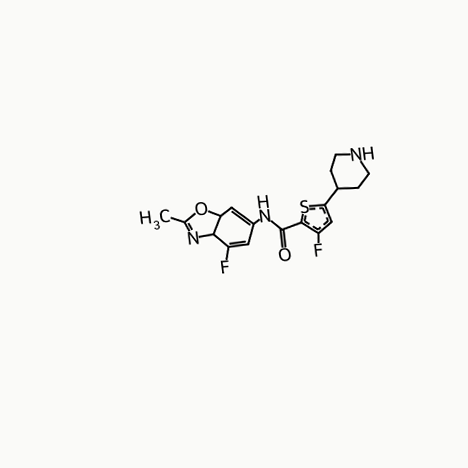 CC1=NC2C(F)=CC(NC(=O)c3sc(C4CCNCC4)cc3F)=CC2O1